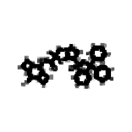 CC1(C(=O)Nc2c3c(c(F)c4c2CC4)CC3)Cn2ncc(S(N)(=O)=NC(c3ccccc3)(c3ccccc3)c3ccccc3)c2O1